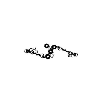 CCC1(COCCCCCOCc2ccc3c(c2)c2cc4oc5ccc(COCCCCCOCC6(C)COC6)cc5c4cc2n3-c2ccccc2)COC1